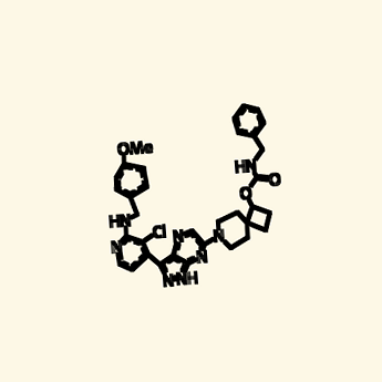 COc1ccc(CNc2nccc(-c3n[nH]c4nc(N5CCC6(CCC6OC(=O)NCc6ccccc6)CC5)cnc34)c2Cl)cc1